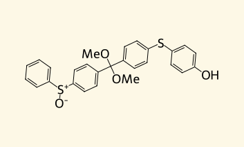 COC(OC)(c1ccc(Sc2ccc(O)cc2)cc1)c1ccc([S+]([O-])c2ccccc2)cc1